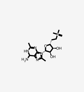 C=P(C)(C)CC[C@H]1O[C@@H](n2c(C)nc3c2N=C(C)NC3N)[C@H](O)[C@@H]1O